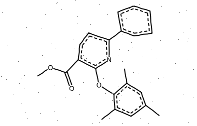 COC(=O)c1ccc(-c2ccccc2)nc1Oc1c(C)cc(C)cc1C